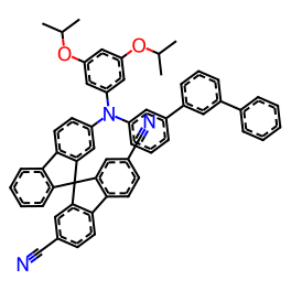 CC(C)Oc1cc(OC(C)C)cc(N(c2cccc(-c3cccc(-c4ccccc4)c3)c2)c2ccc3c(c2)C2(c4ccccc4-3)c3cc(C#N)ccc3-c3ccc(C#N)cc32)c1